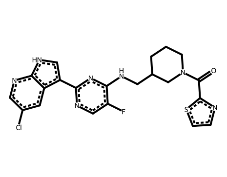 O=C(c1nccs1)N1CCCC(CNc2nc(-c3c[nH]c4ncc(Cl)cc34)ncc2F)C1